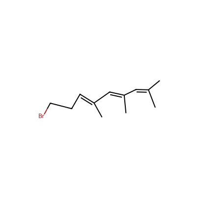 CC(C)=C/C(C)=C/C(C)=C/CCBr